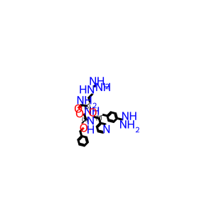 N=C(N)NCCC[C@H](NC(=O)[C@H](COCc1ccccc1)NC(=O)[C@H](Cc1ccc(C(=N)N)cc1)c1cccnc1)C(N)=O